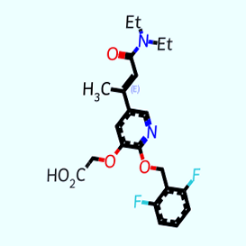 CCN(CC)C(=O)/C=C(\C)c1cnc(OCc2c(F)cccc2F)c(OCC(=O)O)c1